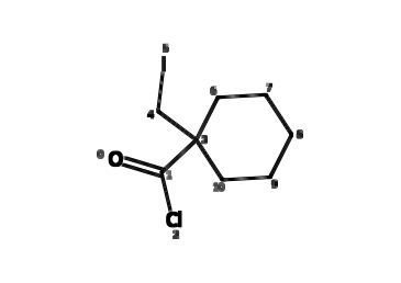 O=C(Cl)C1(CI)CCCCC1